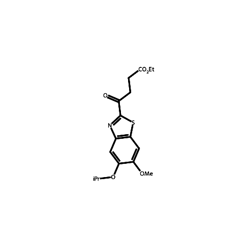 CCOC(=O)CCC(=O)c1nc2cc(OC(C)C)c(OC)cc2s1